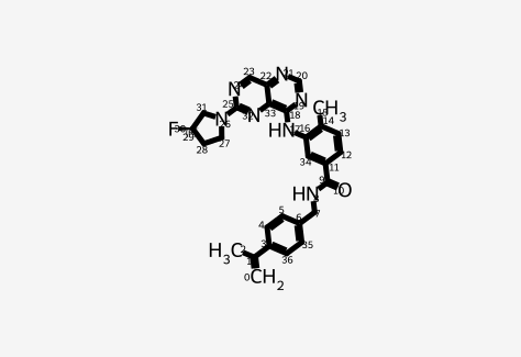 C=C(C)c1ccc(CNC(=O)c2ccc(C)c(Nc3ncnc4cnc(N5CC[C@@H](F)C5)nc34)c2)cc1